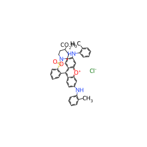 Cc1ccccc1Nc1ccc2c(-c3ccccc3S(=O)(=O)N3CCC(C(=O)O)CC3)c3ccc(Nc4ccccc4C)cc3[o+]c2c1.[Cl-]